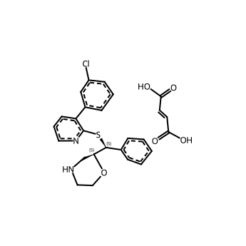 Clc1cccc(-c2cccnc2S[C@@H](c2ccccc2)[C@@H]2CNCCO2)c1.O=C(O)C=CC(=O)O